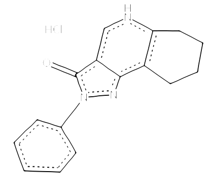 Cl.O=c1c2c[nH]c3c(c-2nn1-c1ccccc1)CCCC3